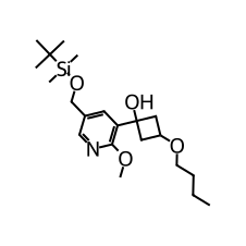 CCCCOC1CC(O)(c2cc(CO[Si](C)(C)C(C)(C)C)cnc2OC)C1